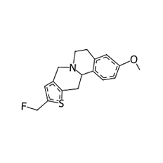 COc1ccc2c(c1)CCN1Cc3cc(CF)sc3CC21